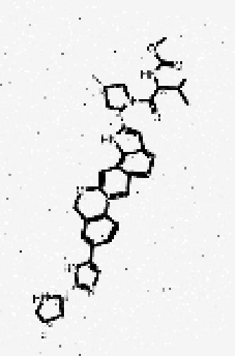 COC(=O)N[C@H](C(=O)N1C[C@@H](C)C[C@H]1c1cc2ccc3cc4c(cc3c2[nH]1)OCc1cc(-c2cnc([C@@H]3C[C@H](C)CN3)[nH]2)ccc1-4)C(C)C